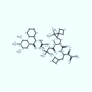 C[C@@H]1CN(C(=O)[C@@H](NC(=O)N[C@H](C(=O)N2C[C@]3(C[C@H]2C(=O)NC(CC2CCC2)C(=O)C(N)=O)C(C)(C)C32CCC2)C(C)(C)C)C2CCCCC2)C[C@H](C)N1C